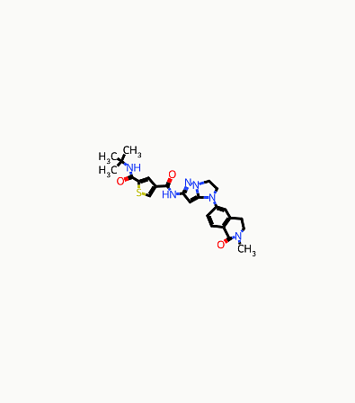 CN1CCc2cc(N3CCn4nc(NC(=O)c5csc(C(=O)NC(C)(C)C)c5)cc43)ccc2C1=O